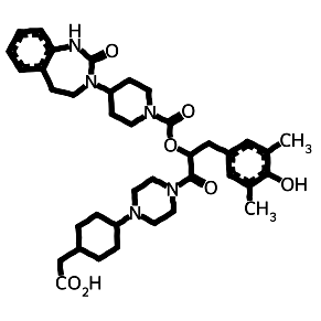 Cc1cc(CC(OC(=O)N2CCC(N3CCc4ccccc4NC3=O)CC2)C(=O)N2CCN(C3CCC(CC(=O)O)CC3)CC2)cc(C)c1O